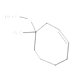 CC1(OC(=O)O)CC=CCCCC1